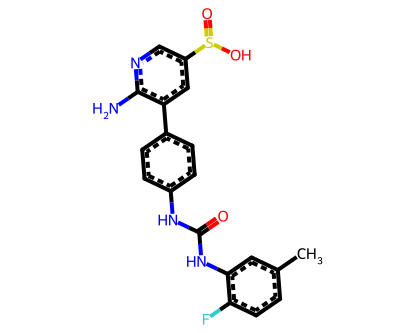 Cc1ccc(F)c(NC(=O)Nc2ccc(-c3cc(S(=O)O)cnc3N)cc2)c1